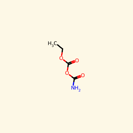 CCOC(=O)OC(N)=O